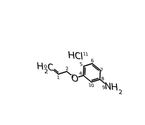 C=CCOc1cccc(N)c1.Cl